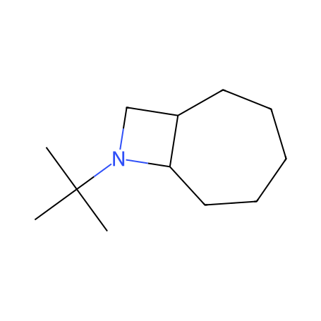 CC(C)(C)N1CC2CCCCCC21